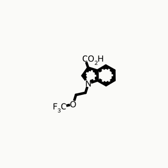 O=C(O)c1cn(CCOC(F)(F)F)c2ccccc12